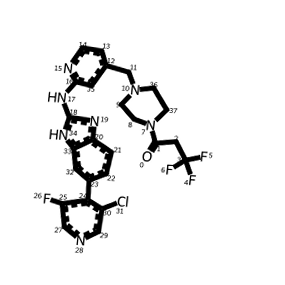 O=C(CC(F)(F)F)N1CCN(Cc2ccnc(Nc3nc4ccc(-c5c(F)cncc5Cl)cc4[nH]3)c2)CC1